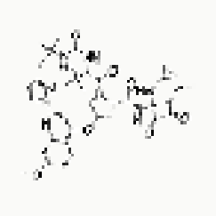 CCC1C(=O)C(=O)C1(NC(=O)[C@@H]1C[C@@H](Oc2cc(-n3cccn3)nc3cc(OC)ccc23)CN1C(=O)[C@@H](NC(=O)NC(C)(C)C)C(C)(C)C)NC1CC1